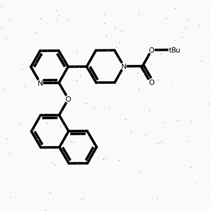 CC(C)(C)OC(=O)N1CC=C(c2cccnc2Oc2cccc3ccccc23)CC1